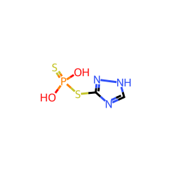 OP(O)(=S)Sc1nc[nH]n1